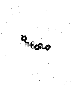 Cc1ccc(CCNC(=O)Oc2ccc3c(c2)CCN3Cc2ccccc2)cc1